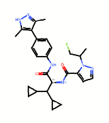 Cc1n[nH]c(C)c1-c1ccc(NC(=O)[C@@H](NC(=O)c2ccnn2C(C)CF)C(C2CC2)C2CC2)cc1